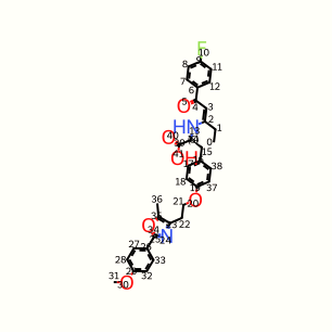 CCC(=CC(=O)c1ccc(F)cc1)N[C@@H](Cc1ccc(OCCc2nc(-c3ccc(OC)cc3)oc2C)cc1)C(=O)O